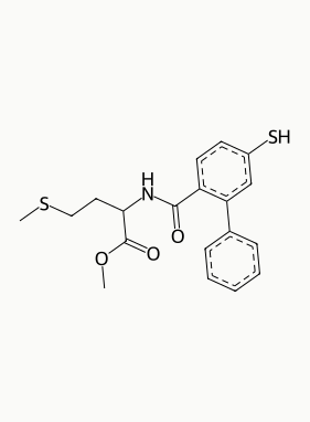 COC(=O)C(CCSC)NC(=O)c1ccc(S)cc1-c1ccccc1